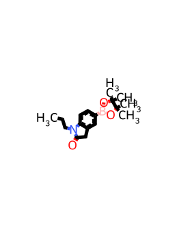 CCCN1C(=O)Cc2cc(B3OC(C)(C)C(C)(C)O3)ccc21